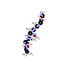 C=CC(=O)Nc1cc(Nc2nc(-c3ccnc(N4CCn5c(cc6c5CC(C)(C)C6)C4=O)c3CO)cn(C)c2=O)ccc1N1CCN(C2CCN(c3ccc4c(c3)CN(C3CCC(=O)NC3=O)C4=O)[C@H](C)C2)C[C@@H]1C